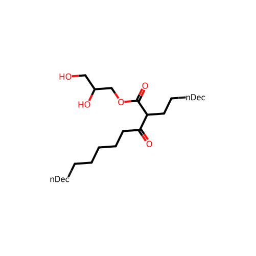 CCCCCCCCCCCCCCCC(=O)C(CCCCCCCCCCCC)C(=O)OCC(O)CO